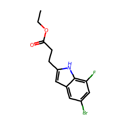 CCOC(=O)CCc1cc2cc(Br)cc(F)c2[nH]1